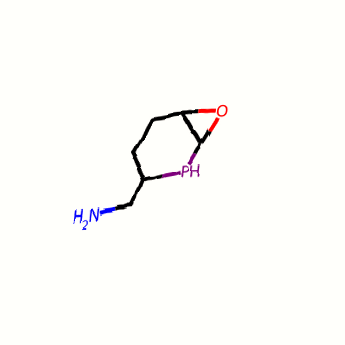 NCC1CCC2OC2P1